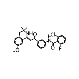 COc1ccc2c(c1)C(=CC(=O)c1cccc(NC(=O)c3c(F)cccc3Cl)c1)NC(C)(C)C2